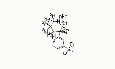 [2H]C1([2H])N(CCC)C([2H])([2H])[C@]([2H])(c2cccc(S(C)(=O)=O)c2)C([2H])([2H])C1([2H])[2H]